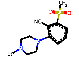 CCN1CCN(c2cccc(S(=O)(=O)C(F)(F)F)c2C#N)CC1